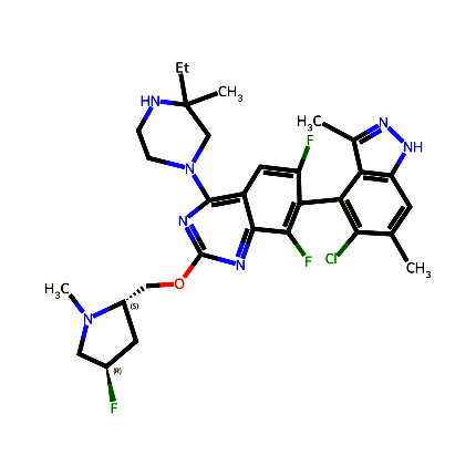 CCC1(C)CN(c2nc(OC[C@@H]3C[C@@H](F)CN3C)nc3c(F)c(-c4c(Cl)c(C)cc5[nH]nc(C)c45)c(F)cc23)CCN1